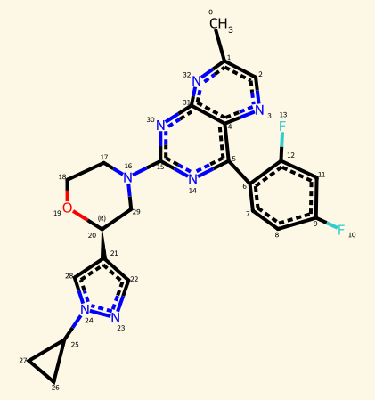 Cc1cnc2c(-c3ccc(F)cc3F)nc(N3CCO[C@H](c4cnn(C5CC5)c4)C3)nc2n1